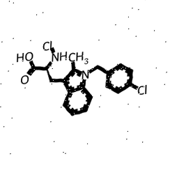 Cc1c(C[C@H](NCl)C(=O)O)c2ccccc2n1Cc1ccc(Cl)cc1